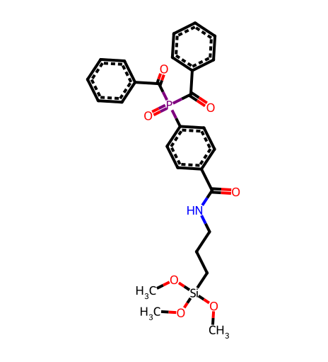 CO[Si](CCCNC(=O)c1ccc(P(=O)(C(=O)c2ccccc2)C(=O)c2ccccc2)cc1)(OC)OC